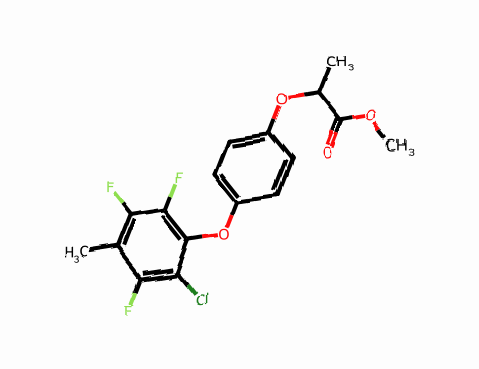 COC(=O)C(C)Oc1ccc(Oc2c(F)c(F)c(C)c(F)c2Cl)cc1